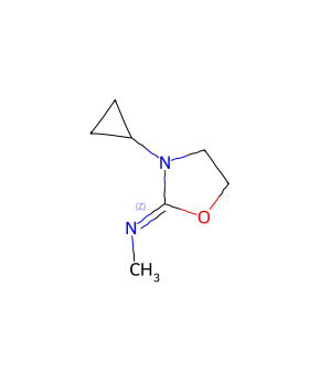 C/N=C1\OCCN1C1CC1